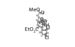 CCOC(=O)C1=CN(CCCC(=O)OC)S(=O)(=O)NC1c1ccc(Cl)cc1Cl